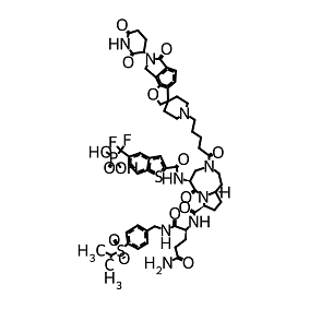 CC(C)S(=O)(=O)c1ccc(CNC(=O)[C@H](CCC(N)=O)NC(=O)[C@@H]2CC[C@@H]3CCN(C(=O)CCCCN4CCC5(CC4)COc4c5ccc5c4CN([C@H]4CCC(=O)NC4=O)C5=O)C[C@H](NC(=O)c4cc5cc(C(F)(F)P(=O)(O)O)ccc5s4)C(=O)N32)cc1